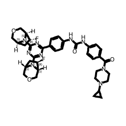 O=C(Nc1ccc(C(=O)N2CCN(C3CC3)CC2)cc1)Nc1ccc(-c2nc(N3[C@@H]4COC[C@H]3[C@H](F)C4)nc(N3[C@@H]4COC[C@H]3[C@H](F)C4)n2)cc1